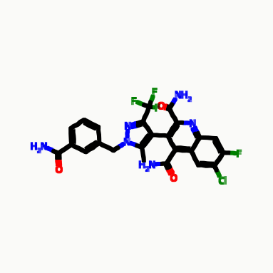 Cc1c(-c2c(C(N)=O)nc3cc(F)c(Cl)cc3c2C(N)=O)c(C(F)(F)F)nn1Cc1cccc(C(N)=O)c1